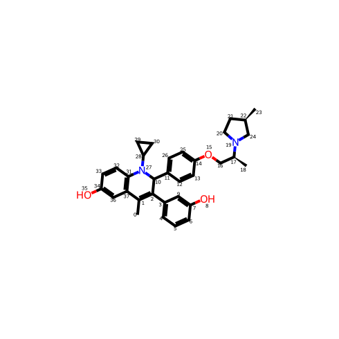 CC1=C(c2cccc(O)c2)C(c2ccc(OC[C@H](C)N3CC[C@@H](C)C3)cc2)N(C2CC2)c2ccc(O)cc21